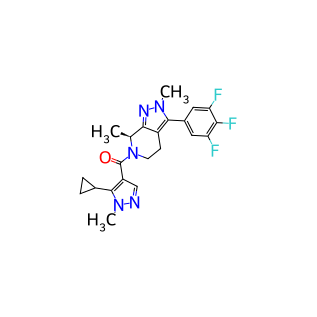 C[C@H]1c2nn(C)c(-c3cc(F)c(F)c(F)c3)c2CCN1C(=O)c1cnn(C)c1C1CC1